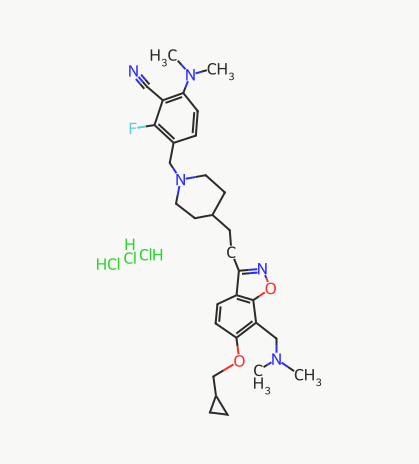 CN(C)Cc1c(OCC2CC2)ccc2c(CCC3CCN(Cc4ccc(N(C)C)c(C#N)c4F)CC3)noc12.Cl.Cl.Cl